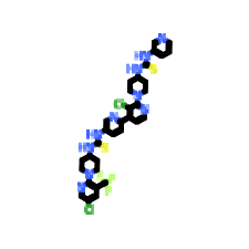 FC(F)(F)c1cc(Cl)cnc1N1CCC(NC(=S)Nc2ccc(-c3ccnc(N4CCC(NC(=S)Nc5cccnc5)CC4)c3Cl)nc2)CC1